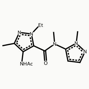 CCn1nc(C)c(NC(C)=O)c1C(=O)N(C)c1ccnn1C